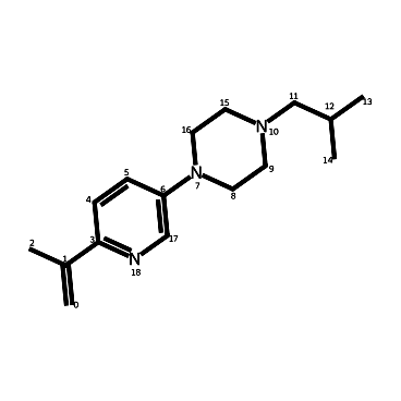 C=C(C)c1ccc(N2CCN(CC(C)C)CC2)cn1